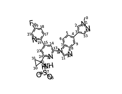 Cn1cc(-c2ccc3c(c2)ncn3-c2cc(-c3ccc(F)cn3)cc(C3(N[SH](=O)=O)CC3)n2)cn1